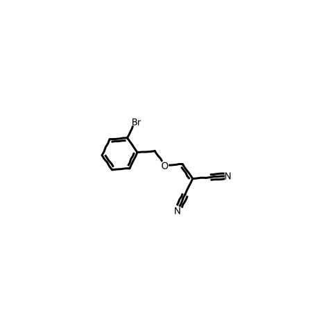 N#CC(C#N)=COCc1ccccc1Br